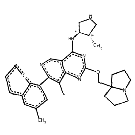 Cc1cc(-c2ncc3c(N[C@H]4CNC[C@@H]4C)nc(OCC45CCCN4CCC5)nc3c2F)c2ccccc2c1